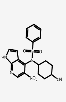 N#CC1CCC(N(c2c([N+](=O)[O-])cnc3[nH]ccc23)S(=O)(=O)c2ccccc2)CC1